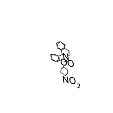 O=C(OC1CCC([N+](=O)[O-])CC1)N1CCc2ccccc2C1c1ccccc1